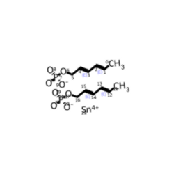 C/C=C/C=C/COP(=O)([O-])[O-].C/C=C/C=C/COP(=O)([O-])[O-].[Sn+4]